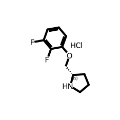 Cl.Fc1cccc(OC[C@@H]2CCCN2)c1F